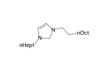 CCCCCCCCCCN1C=CN(CCCCCCC)C1